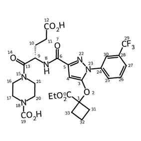 CCOC(=O)C1(Oc2cc(C(=O)N[C@@H](CCC(=O)O)C(=O)N3CCN(C(=O)O)CC3)nn2-c2cccc(C(F)(F)F)c2)CCC1